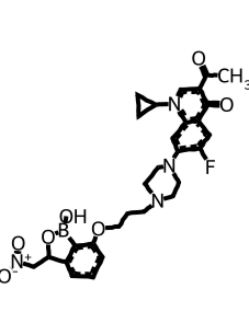 CC(=O)c1cn(C2CC2)c2cc(N3CCN(CCCOc4cccc5c4B(O)OC5C[N+](=O)[O-])CC3)c(F)cc2c1=O